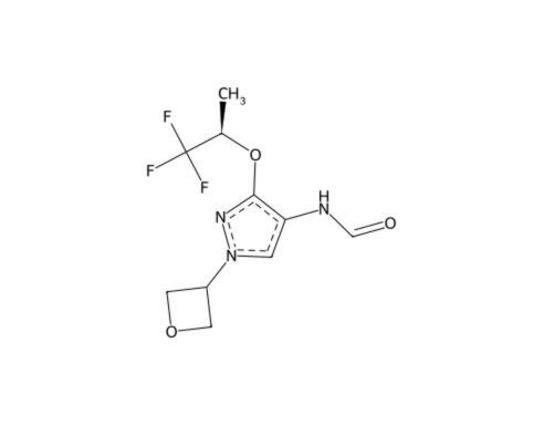 C[C@@H](Oc1nn(C2COC2)cc1NC=O)C(F)(F)F